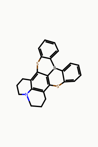 c1ccc2c(c1)Sc1c3c4c(c5c1B2c1ccccc1S5)CCCN4CCC3